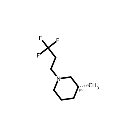 C[C@@H]1CCCN(CCC(F)(F)F)C1